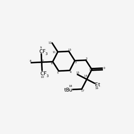 C=C(CC1CCC(C(C)(C(F)(F)F)C(F)(F)F)C(C)C1)C(C)(CC)CC(C)(C)C